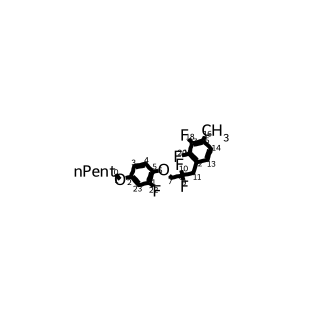 CCCCCOc1ccc(OCC(F)(F)Cc2ccc(C)c(F)c2F)c(F)c1